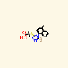 Cc1ccc(-n2c(Br)nnc2SC(C)(C)C(=O)O)c2ccccc12